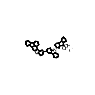 CC1(C)c2ccccc2-c2ccc(-n3c4ccccc4c4cc(-c5ccc6sc7cc8c9c(cccc9c7c6c5)-c5ccccc5-8)ccc43)cc21